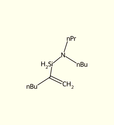 C=C(CCCC)[SiH2]N(CCC)CCCC